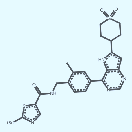 Cc1cc(-c2ncnc3cc(C4CCS(=O)(=O)CC4)[nH]c23)ccc1CNC(=O)c1cnc(C(C)(C)C)s1